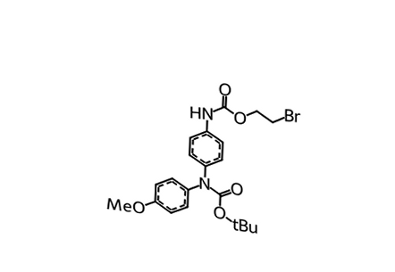 COc1ccc(N(C(=O)OC(C)(C)C)c2ccc(NC(=O)OCCBr)cc2)cc1